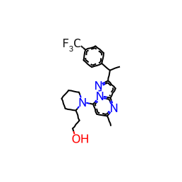 Cc1cc(N2CCCCC2CCO)n2nc(C(C)c3ccc(C(F)(F)F)cc3)cc2n1